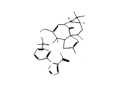 CC1=CC23C(=O)[C@@H](C=C4COC(C)(C)O[C@H]4[C@]2(O)[C@H]1OC(=O)c1cnnn1-c1ccccc1)[C@H]1[C@@H](CC3C)C1(C)C